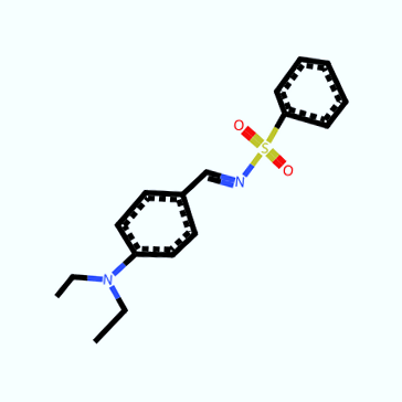 CCN(CC)c1ccc(C=NS(=O)(=O)c2ccccc2)cc1